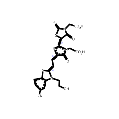 N#Cc1ccc2c(c1)N(CCO)/C(=C/C=c1/s/c(=C3\SC(=S)N(CC(=O)O)C3=O)n(CC(=O)O)c1=O)S2